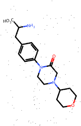 NC(Cc1ccc(N2CCN(C3CCOCC3)CC2=O)cc1)C(=O)O